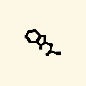 O=C(O)Oc1cc2ccncc2[nH]1